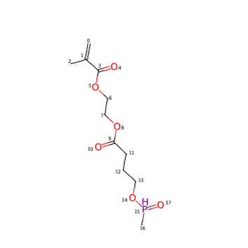 C=C(C)C(=O)OCCOC(=O)CCCO[PH](C)=O